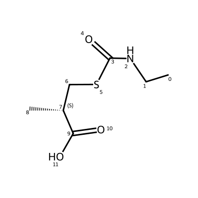 CCNC(=O)SC[C@@H](C)C(=O)O